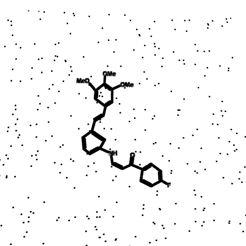 COc1cc(/C=C/c2cccc(N/C=C\C(=O)c3ccc(F)cc3)c2)cc(OC)c1OC